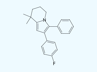 CC1(C)CCCn2c1cc(-c1ccc(F)cc1)c2-c1ccccc1